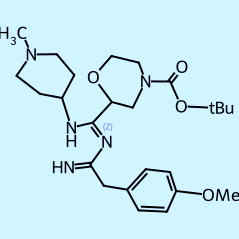 COc1ccc(CC(=N)/N=C(\NC2CCN(C)CC2)C2CN(C(=O)OC(C)(C)C)CCO2)cc1